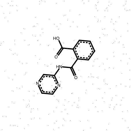 O=C(O)c1ccccc1C(=O)Nc1cnccn1